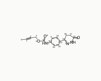 CC#CCOC(=O)Nc1ccc(C2=NNC(=O)CC2)cc1